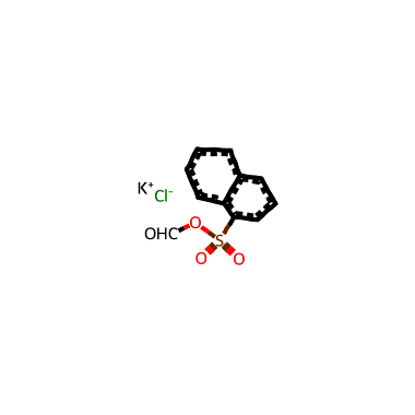 O=COS(=O)(=O)c1cccc2ccccc12.[Cl-].[K+]